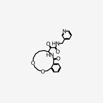 O=C(NCc1cccnc1)C(=O)C1CCCCOCCOCc2ccccc2C(=O)N1